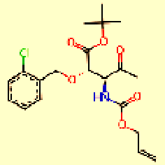 C=CCOC(=O)N[C@H](C(C)=O)[C@H](OCc1ccccc1Cl)C(=O)OC(C)(C)C